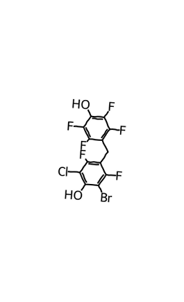 Oc1c(F)c(F)c(Cc2c(F)c(Cl)c(O)c(Br)c2F)c(F)c1F